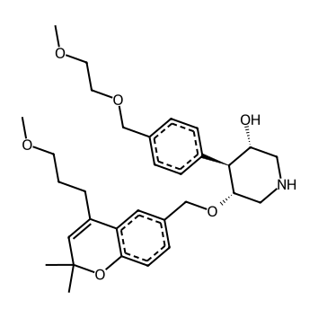 COCCCC1=CC(C)(C)Oc2ccc(CO[C@H]3CNC[C@@H](O)[C@@H]3c3ccc(COCCOC)cc3)cc21